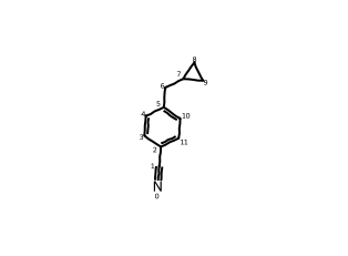 N#Cc1ccc(CC2CC2)cc1